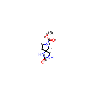 CC(C)(C)OC(=O)N1CCC2(CNC(=O)N2)C1